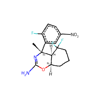 C[C@]1(c2cc([N+](=O)[O-])ccc2F)N=C(N)O[C@@H]2CCCC(F)(F)[C@@H]21